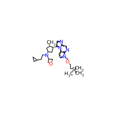 C[C@@H]1C[C@H](N(CCC2CC2)C2COC2)C[C@@H]1c1cnc2cnc3c(ccn3COCC[Si](C)(C)C)n12